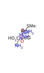 CSCCC(N)C(=O)NC(CC(C)C)C(=O)NC(Cc1ccccc1)C(=O)NC(CCCCN)C(=O)O